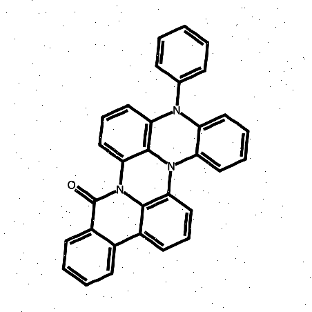 O=c1c2ccccc2c2cccc3c2n1c1cccc2c1-n3c1ccccc1n2-c1ccccc1